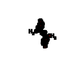 C=CCOc1c(C#Cc2ccc(C#Cc3cc4c5c(cccc5c3OCC=C)C(=O)N(c3cccc(C5=CC=CC5)c3)C4=O)c3ccccc23)cc2c3c(cccc13)C(=O)N(c1cccc(C3=CC=CC3)c1)C2=O